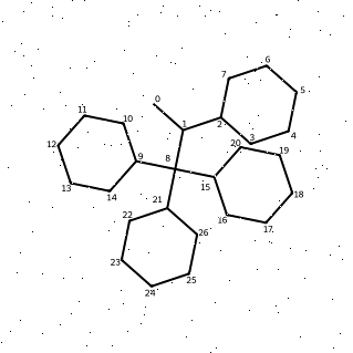 CC(C1CCCCC1)C(C1CCCCC1)(C1CCCCC1)C1CCCCC1